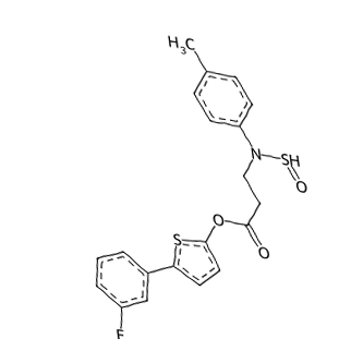 Cc1ccc(N(CCC(=O)Oc2ccc(-c3cccc(F)c3)s2)[SH]=O)cc1